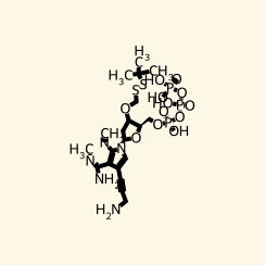 C=Nc1c(/C(N)=N\C)c(C#CCN)cn1[C@H]1CC(OCSSC(C)(C)C)[C@@H](COP(=O)(O)OP(=O)(O)OP(=O)(O)O)O1